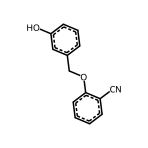 N#Cc1ccccc1OCc1cccc(O)c1